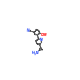 N#Cc1ccc(O)c(-c2ccc(C3CC3N)cn2)c1